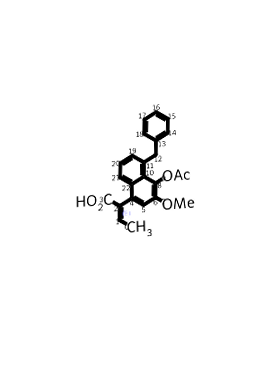 C/C=C(/C(=O)O)c1cc(OC)c(OC(C)=O)c2c(Cc3ccccc3)cccc12